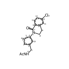 CC(=O)NCc1cncc(N2CCc3cc(Cl)ccc3C2=O)c1